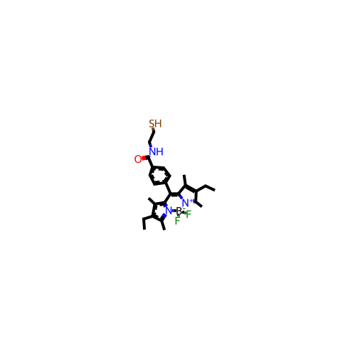 CCC1=C(C)C2=C(c3ccc(C(=O)NCCS)cc3)c3c(C)c(CC)c(C)n3[B-](F)(F)[N+]2=C1C